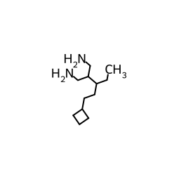 CCC(CCC1CCC1)C(CN)CN